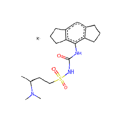 CC(CCS(=O)(=O)NC(=O)Nc1c2c(cc3c1CCC3)CCC2)N(C)C.[K]